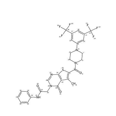 Cc1c(C(=O)N2CCN(c3cc(C(F)(F)F)cc(C(F)(F)F)c3)CC2)sc2ncn(CC(=O)Nc3ccccc3)c(=O)c12